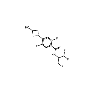 O=C(NC(CF)C(F)F)c1cc(F)c(N2CC(O)C2)cc1F